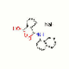 O=C(O)c1ccccc1C(=O)Nc1cccc2ccccc12.[NaH]